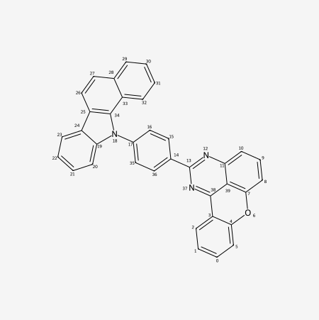 c1ccc2c(c1)Oc1cccc3nc(-c4ccc(-n5c6ccccc6c6ccc7ccccc7c65)cc4)nc-2c13